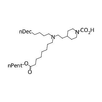 CCCCCCCCCCCCCCN(CCCCCCCC(=O)OCCCCC)CCC1CCN(C(=O)O)CC1